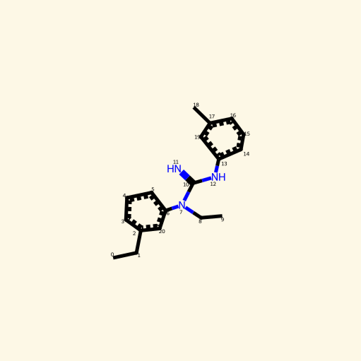 CCc1cccc(N(CC)C(=N)Nc2cccc(C)c2)c1